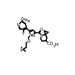 COc1cc(-c2cc(C(=O)N3CCC(C(=O)O)CC34CC4)nn2COCC[Si](C)(C)C)c(F)cn1